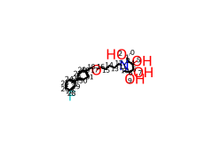 C[C@@H](O)[C@H]1[C@@H](O)[C@H](O)[C@@H](O)CN1CCCCCOCc1ccc(-c2cccc(F)c2)cc1